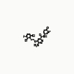 Cn1cc(NC(=O)c2cc(OCCc3c(Cl)ccc(F)c3Cl)c(N)nn2)ccc1=O